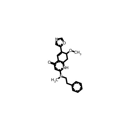 COC1Cc2[nH]c(N(C)CCc3ccccc3)cc(=O)c2C=C1c1cnco1